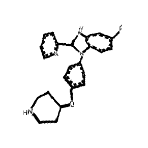 Fc1ccc2c(c1)NC(c1ccccn1)N2c1ccc(OC2CCNCC2)cc1